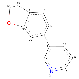 [c]1cncc(-c2ccc3c(c2)OCC3)c1